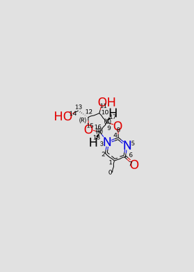 Cc1cn2c(nc1=O)O[C@H]1C(O)[C@@H](CO)O[C@H]12